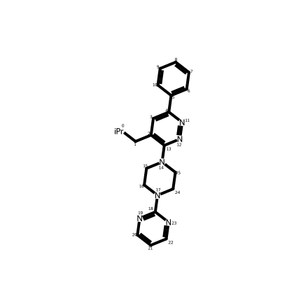 CC(C)Cc1cc(-c2ccccc2)nnc1N1CCN(c2ncccn2)CC1